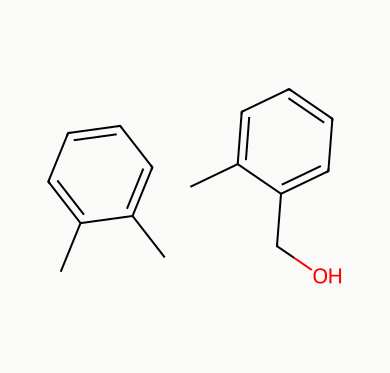 Cc1ccccc1C.Cc1ccccc1CO